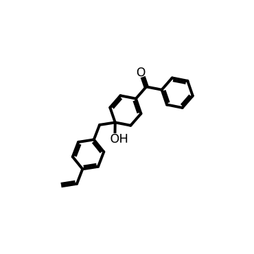 C=Cc1ccc(CC2(O)C=CC(C(=O)c3ccccc3)=CC2)cc1